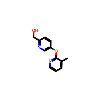 Cc1cccnc1Oc1ccc(CO)nc1